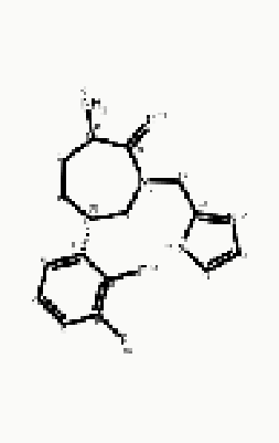 N[C@@H]1CC[C@@H](c2cccc(F)c2F)CN(Cc2nccs2)C1=O